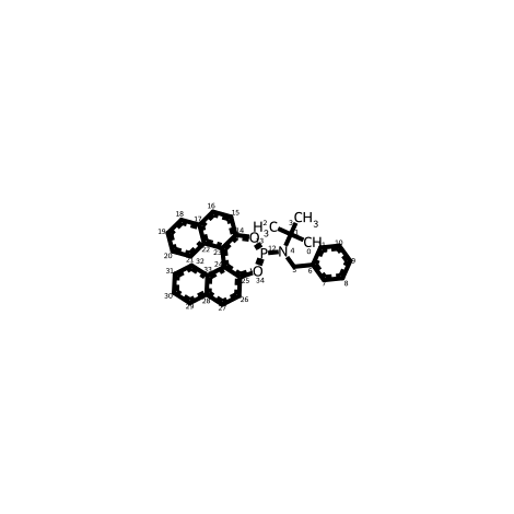 CC(C)(C)N(Cc1ccccc1)p1oc2ccc3ccccc3c2c2c(ccc3ccccc32)o1